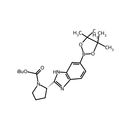 CC(C)COC(=O)N1CCC[C@H]1c1nc2ccc(B3OC(C)(C)C(C)(C)O3)cc2[nH]1